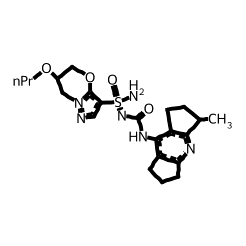 CCCOC1COc2c(S(N)(=O)=NC(=O)Nc3c4c(nc5c3CCC5C)CCC4)cnn2C1